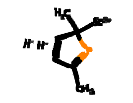 CC1=P[C](C)([Sc+2])C=C1.[H-].[H-]